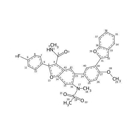 CNC(=O)c1c(-c2ccc(F)cc2)oc2cc(N(C)S(C)(=O)=O)c(-c3ccc(OC)c(-c4cc5ccccc5o4)c3)cc12